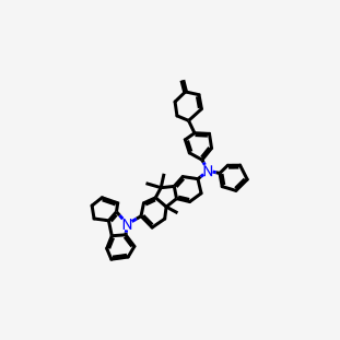 C=C1C=CC(c2ccc(N(c3ccccc3)C3C=C4C(=CC3)C3(C)CC=C(n5c6c(c7ccccc75)CCC=C6)C=C3C4(C)C)cc2)CC1